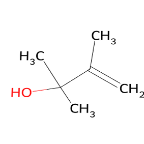 C=C(C)C(C)(C)O